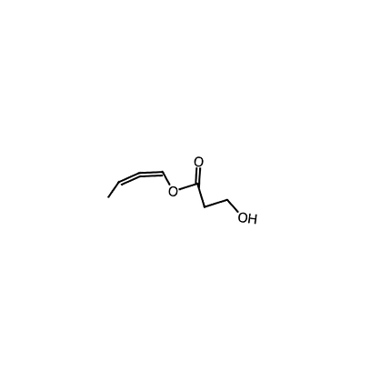 CC=C=COC(=O)CCO